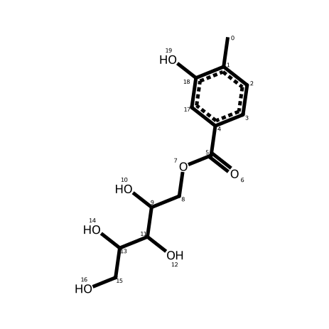 Cc1ccc(C(=O)OCC(O)C(O)C(O)CO)cc1O